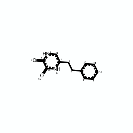 O=c1[nH]cc(CCc2ccccc2)[nH]c1=O